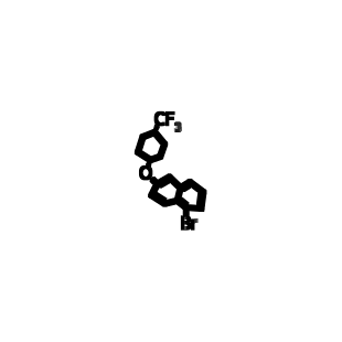 FC(F)(F)[C@H]1CC[C@@H](Oc2ccc3c(Br)cccc3c2)CC1